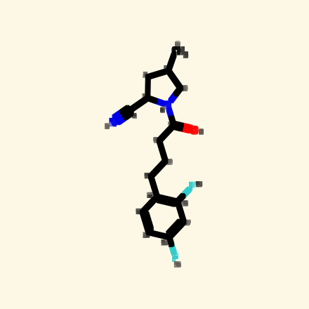 CC1CC(C#N)N(C(=O)CCCc2ccc(F)cc2F)C1